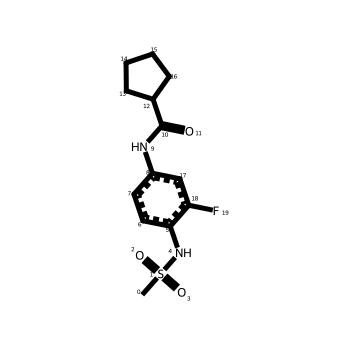 CS(=O)(=O)Nc1ccc(NC(=O)C2CCCC2)cc1F